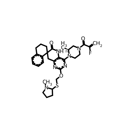 C=C(F)C(=O)N1CCN(c2nc(OCSC3CCCN3C)nc3c2NC(=O)C2(CCCc4ccccc42)C3)[C@@H](C)C1